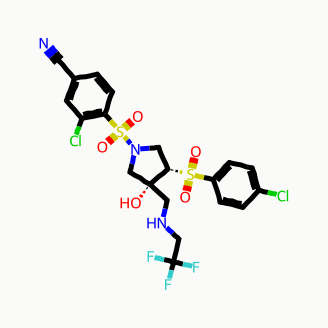 N#Cc1ccc(S(=O)(=O)N2C[C@H](S(=O)(=O)c3ccc(Cl)cc3)[C@@](O)(CNCC(F)(F)F)C2)c(Cl)c1